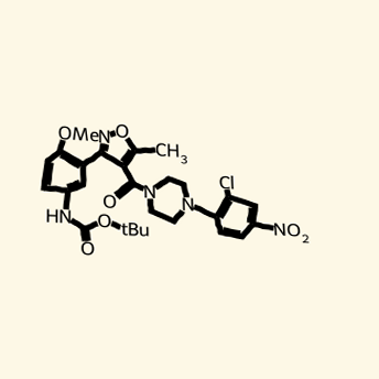 COc1ccc(NC(=O)OC(C)(C)C)cc1-c1noc(C)c1C(=O)N1CCN(c2ccc([N+](=O)[O-])cc2Cl)CC1